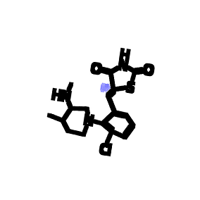 CNC1CN(c2c(Cl)cccc2/C=C2\SC(=O)NC2=O)CCC1C